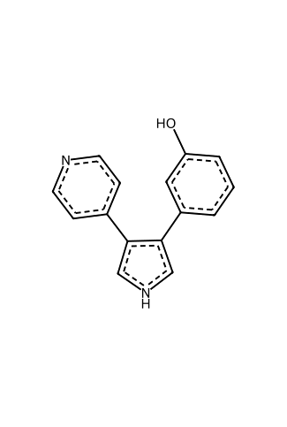 Oc1cccc(-c2c[nH]cc2-c2ccncc2)c1